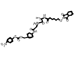 CC(C)[C@H](NC(=O)CCCCCON1C(=O)c2ccccc2C1=O)C(=O)NCC(=O)Nc1ccc(COC(=O)Oc2ccc([N+](=O)[O-])cc2)cc1